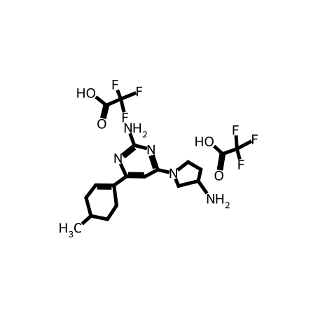 CC1CC=C(c2cc(N3CCC(N)C3)nc(N)n2)CC1.O=C(O)C(F)(F)F.O=C(O)C(F)(F)F